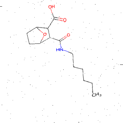 CCCCCCNC(=O)C1C2CCC(O2)C1C(=O)O